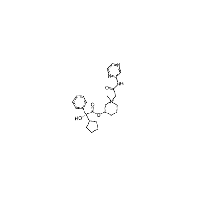 C[N+]1(CC(=O)Nc2cnccn2)CCCC(OC(=O)[C@](O)(c2ccccc2)C2CCCC2)C1